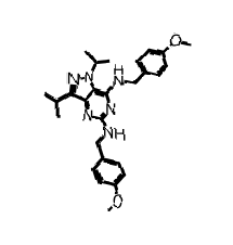 COc1ccc(CNc2nc(NCc3ccc(OC)cc3)c3c(n2)c(C(C)C)nn3C(C)C)cc1